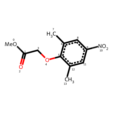 COC(=O)COc1c(C)cc([N+](=O)[O-])cc1C